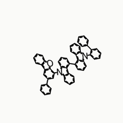 c1ccc(-c2cc(-n3c4ccccc4c4c(-c5cccc6c5c5ccccc5n6-c5ccccc5-c5ccccc5)cccc43)c3oc4ccccc4c3c2)cc1